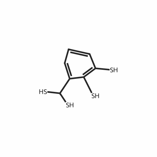 S[C](S)c1cccc(S)c1S